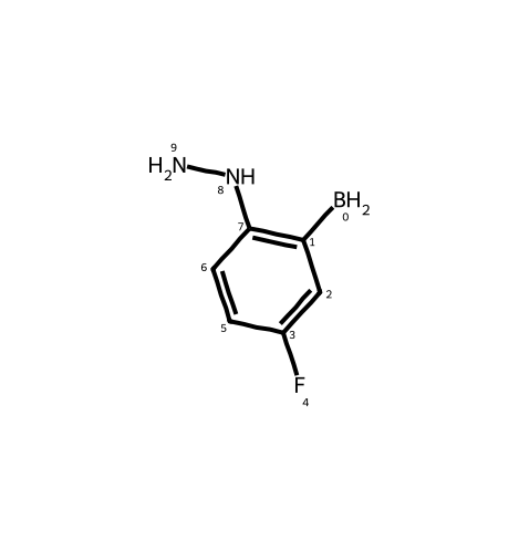 Bc1cc(F)ccc1NN